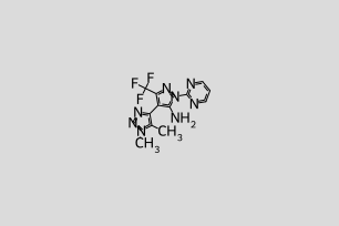 Cc1c(-c2c(C(F)(F)F)nn(-c3ncccn3)c2N)nnn1C